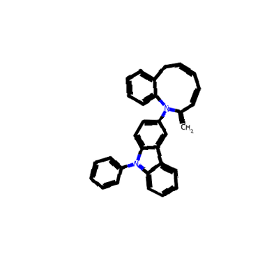 C=C1/C=C\C=C/Cc2ccccc2N1c1ccc2c(c1)c1ccccc1n2-c1ccccc1